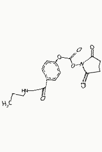 CCCNC(=O)c1ccc(OC(=O)ON2C(=O)CCC2=O)cc1